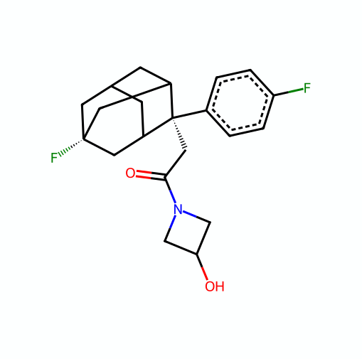 O=C(C[C@]1(c2ccc(F)cc2)C2CC3CC1C[C@](F)(C3)C2)N1CC(O)C1